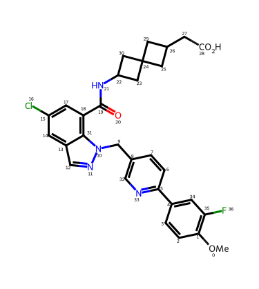 COc1ccc(-c2ccc(Cn3ncc4cc(Cl)cc(C(=O)NC5CC6(CC(CC(=O)O)C6)C5)c43)cn2)cc1F